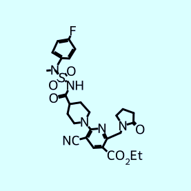 CCOC(=O)c1cc(C#N)c(N2CCC(C(=O)NS(=O)(=O)N(C)c3ccc(F)cc3)CC2)nc1CN1CCCC1=O